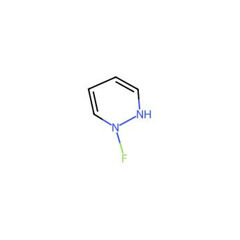 FN1C=CC=CN1